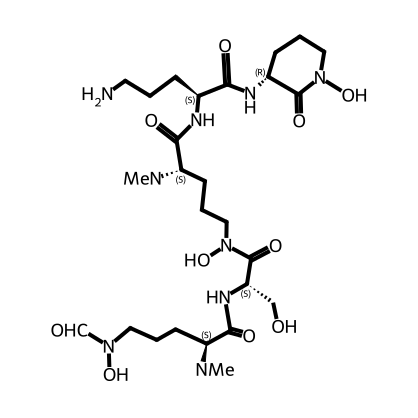 CN[C@@H](CCCN(O)C(=O)[C@H](CO)NC(=O)[C@H](CCCN(O)C=O)NC)C(=O)N[C@@H](CCCN)C(=O)N[C@@H]1CCCN(O)C1=O